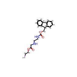 O=C(CNCCNC(=O)OCC1c2ccccc2-c2ccccc21)OCCI